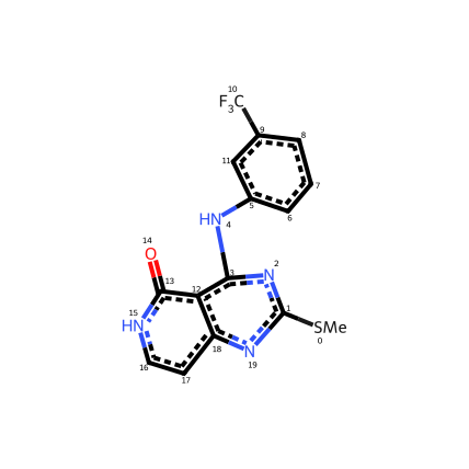 CSc1nc(Nc2cccc(C(F)(F)F)c2)c2c(=O)[nH]ccc2n1